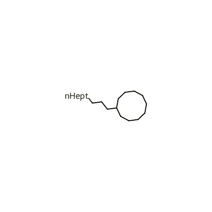 CCCCCCCCCCC1CCCCCCCCC1